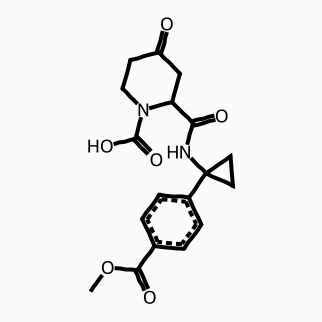 COC(=O)c1ccc(C2(NC(=O)C3CC(=O)CCN3C(=O)O)CC2)cc1